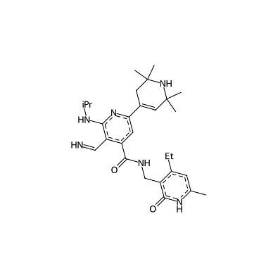 CCc1cc(C)[nH]c(=O)c1CNC(=O)c1cc(C2=CC(C)(C)NC(C)(C)C2)nc(NC(C)C)c1C=N